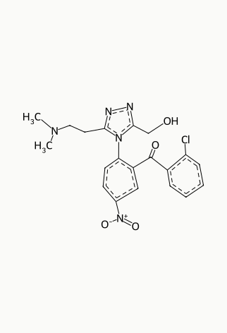 CN(C)CCc1nnc(CO)n1-c1ccc([N+](=O)[O-])cc1C(=O)c1ccccc1Cl